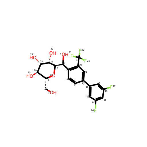 OC[C@H]1O[C@H](C(O)c2ccc(-c3cc(F)cc(F)c3)cc2C(F)(F)F)[C@@H](O)[C@@H](O)[C@@H]1O